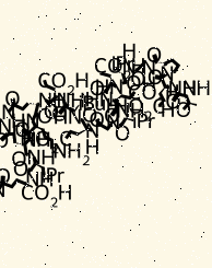 CC[C@H](C)[C@H](NC(=O)[C@H](CCC(=O)O)NC(=O)CNC(=O)[C@@H](NC(=O)[C@H](CCC(=O)O)NC(=O)[C@H](CCC(=O)O)NC(=O)[C@H](CC(C)C)NC(=O)CNC(=O)[C@@H]1CCCN1C(=O)[C@H](CCC(=O)O)NC(=O)[C@@H](N)[C@@H](C)O)C(C)C)C(=O)N[C@@H](CCC(=O)O)C(=O)N[C@@H](CCC(N)=O)C(=O)N[C@@H](CCCCN)C(=O)N[C@@H](CCC(N)=O)C(=O)N[C@@H](CC(C)C)C(=O)N[C@@H](CCC(N)=O)C(=O)O